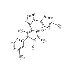 Cc1c(-c2ccnn2-c2ccc(C#N)cc2)c(=O)n(C)c(=O)n1-c1cccc([N+](=O)[O-])c1